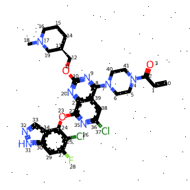 C=CC(=O)N1CCN(c2nc(OC[C@@H]3CCCN(C)C3)nc3c(Oc4c(Cl)c(F)cc5[nH]ncc45)nc(Cl)cc23)CC1